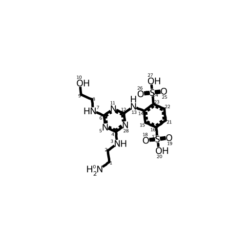 NCCNc1nc(NCCO)nc(Nc2cc(S(=O)(=O)O)ccc2S(=O)(=O)O)n1